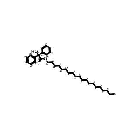 CCCCCCCCCCCCCCCCCCCCOC(=O)C(O)(c1ccccc1)c1ccccc1